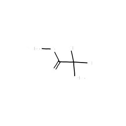 CCCCCCOC(=O)C(C)(C)CCCCCC